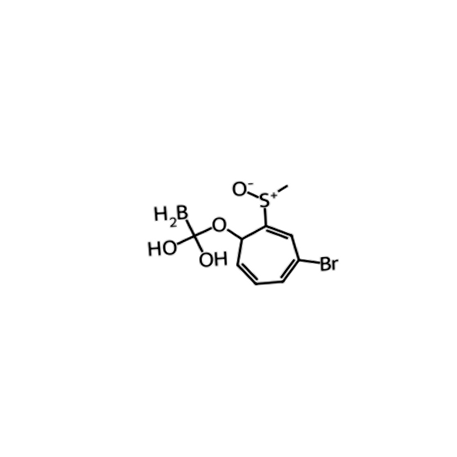 BC(O)(O)OC1C=CC=C(Br)C=C1[S+](C)[O-]